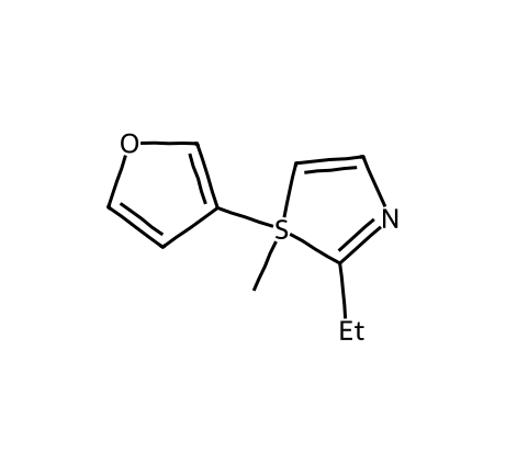 CCC1=NC=CS1(C)c1ccoc1